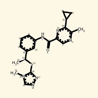 Cc1ncc(C(=O)Nc2cccc([C@H](C)Sc3nncn3C)c2)nc1C1CC1